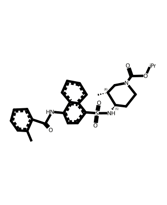 Cc1ccccc1C(=O)Nc1ccc(S(=O)(=O)N[C@H]2CCN(C(=O)OC(C)C)C[C@H]2C)c2ccccc12